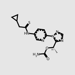 C[C@H](OC(N)=O)c1ncnn1-c1ccc(NC(=S)CC2CC2)cn1